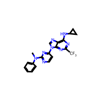 CN(c1ccccc1)c1nccc(-n2cnc3c(NC4CC4)nc(C(F)(F)F)nc32)n1